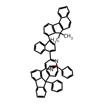 CC1(C)c2ccc3ccccc3c2-c2cccc(-c3ccc(-c4cc(-c5cccc6c5C(c5ccccc5)(c5ccccc5)c5ccccc5-6)nc(-c5ccccc5)n4)c4ccccc34)c21